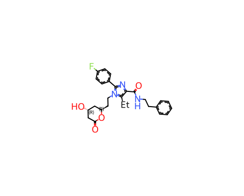 CCc1c(C(=O)NCCc2ccccc2)nc(-c2ccc(F)cc2)n1CC[C@@H]1C[C@@H](O)CC(=O)O1